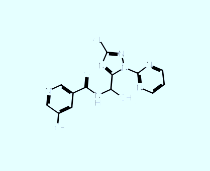 CC(NC(=O)c1cncc(C(F)(F)F)c1)c1nc(Cl)nn1-c1ncccn1